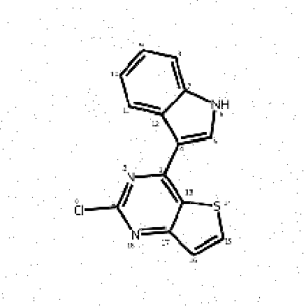 Clc1nc(-c2c[nH]c3ccccc23)c2sccc2n1